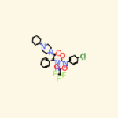 O=C(C(NC(=O)N(OC(=O)C(F)(F)F)c1ccc(Cl)cc1)c1ccccc1)N1CCN(C2CCCCC2)CC1